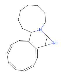 c1ccccc2c(ccc1)C1NC1N1CCCCCCCC21